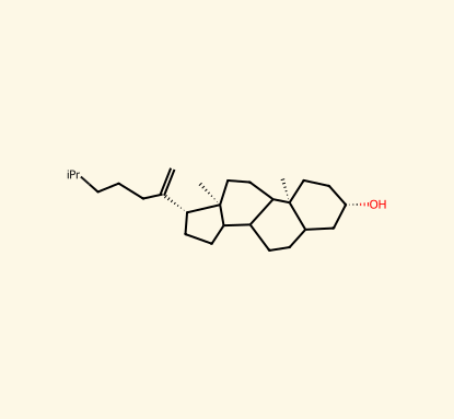 C=C(CCCC(C)C)[C@H]1CCC2C3CCC4C[C@@H](O)CC[C@]4(C)C3CC[C@@]21C